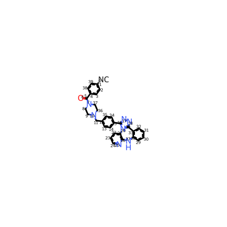 [C-]#[N+]c1ccc(C(=O)N2CCN(Cc3ccc(-c4nnc5n4-c4cccnc4Nc4ccccc4-5)cc3)CC2)cc1